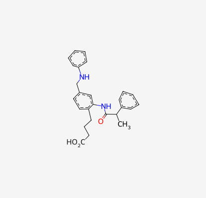 CC(C(=O)Nc1cc(CNc2ccccc2)ccc1CCCC(=O)O)c1ccccc1